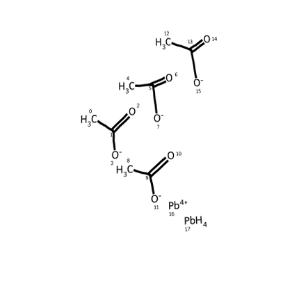 CC(=O)[O-].CC(=O)[O-].CC(=O)[O-].CC(=O)[O-].[Pb+4].[PbH4]